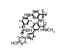 CNC(=O)c1cc(-c2cnn([C@H]3CC[C@H](O)CC3)c2)ccc1Nc1nc(Nc2ccc(C[PH](=O)O)cc2)ncc1C(F)(F)F